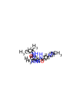 Cc1ccc(C)c(NC(=O)N2Cc3c(NC(=O)c4ccc(N5CCN(C)CC5)cc4)n[nH]c3C2(C)C)c1